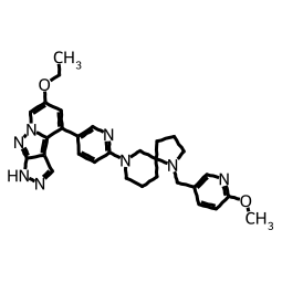 CCOc1cc(-c2ccc(N3CCCC4(CCCN4Cc4ccc(OC)nc4)C3)nc2)c2c3cn[nH]c3nn2c1